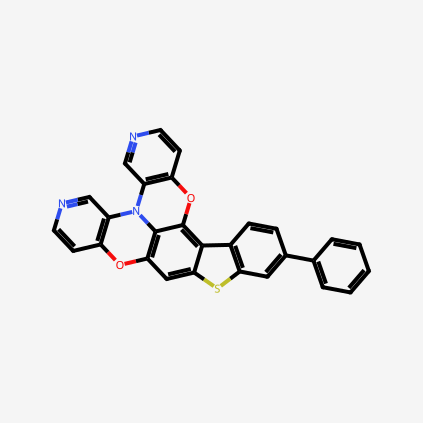 c1ccc(-c2ccc3c(c2)sc2cc4c5c(c23)Oc2ccncc2N5c2cnccc2O4)cc1